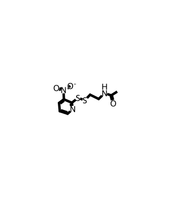 CC(=O)NCCSSc1ncccc1[N+](=O)[O-]